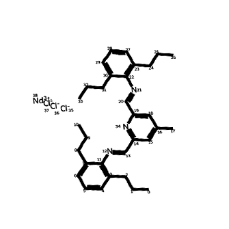 CCCc1cccc(CCC)c1N=Cc1cc(C)cc(C=Nc2c(CCC)cccc2CCC)n1.[Cl-].[Cl-].[Cl-].[Nd+3]